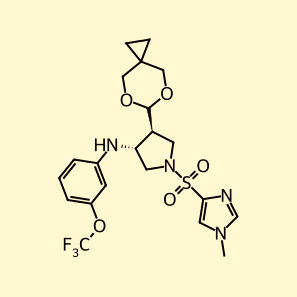 Cn1cnc(S(=O)(=O)N2C[C@H](Nc3cccc(OC(F)(F)F)c3)[C@@H](C3OCC4(CC4)CO3)C2)c1